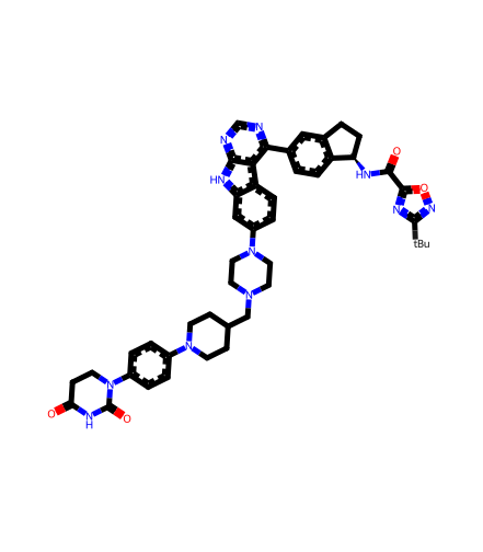 CC(C)(C)c1noc(C(=O)N[C@@H]2CCc3cc(-c4ncnc5[nH]c6cc(N7CCN(CC8CCN(c9ccc(N%10CCC(=O)NC%10=O)cc9)CC8)CC7)ccc6c45)ccc32)n1